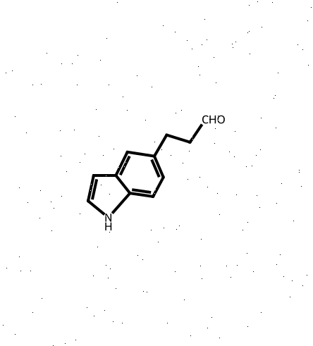 O=CCCc1ccc2[nH]ccc2c1